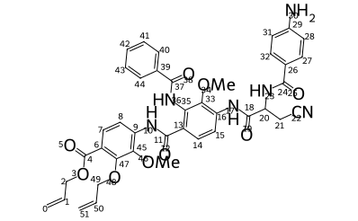 C=CCOC(=O)c1ccc(NC(=O)c2ccc(NC(=O)C(CC#N)NC(=O)c3ccc(N)cc3)c(OC)c2NC(=O)c2ccccc2)c(OC)c1OCC=C